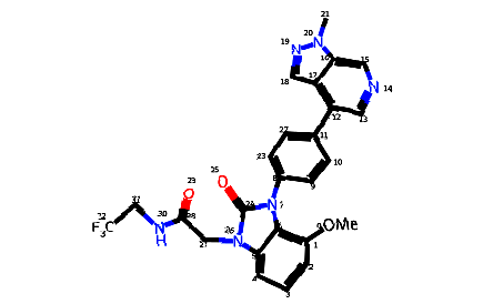 COc1cccc2c1n(-c1ccc(-c3cncc4c3cnn4C)cc1)c(=O)n2CC(=O)NCC(F)(F)F